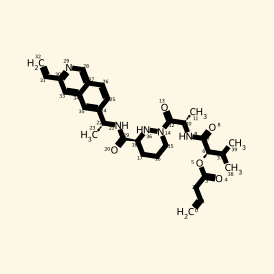 C=CCC(=O)O[C@H](C(=O)N[C@@H](C)C(=O)N1CCC[C@@H](C(=O)N[C@H](C)c2ccc3cnc(C=C)cc3c2)N1)C(C)C